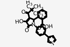 CC(C)(C)C(=O)C1=C(O)C(=O)N(c2ccc(-c3ccsc3)cc2)C1c1ccccc1C(=O)O